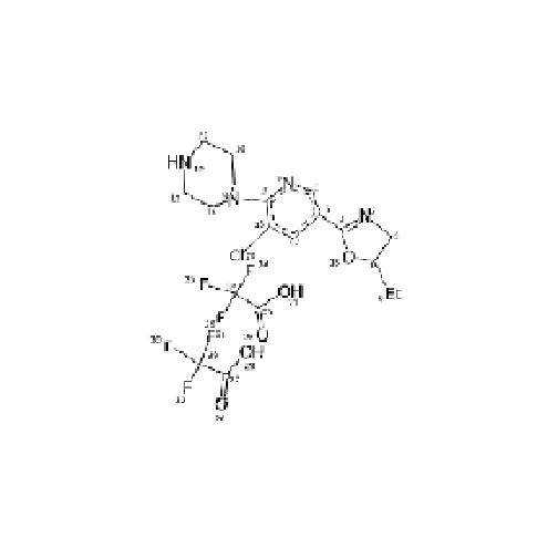 CCC1CN=C(c2cnc(N3CCNCC3)c(Cl)c2)O1.O=C(O)C(F)(F)F.O=C(O)C(F)(F)F